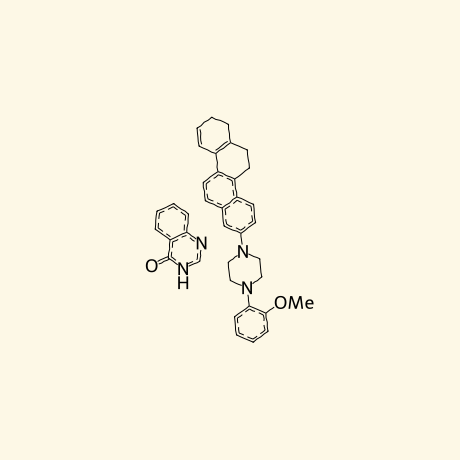 COc1ccccc1N1CCN(c2ccc3c4c(ccc3c2)C2=C(CCC=C2)CC4)CC1.O=c1[nH]cnc2ccccc12